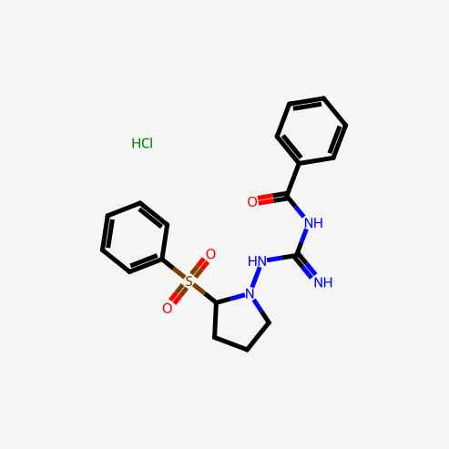 Cl.N=C(NC(=O)c1ccccc1)NN1CCCC1S(=O)(=O)c1ccccc1